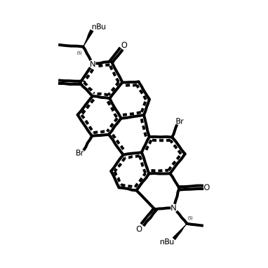 C=c1c2cc(Br)c3c4ccc5c6c(cc(Br)c(c7ccc(c(=O)n1[C@@H](C)CCCC)c2c73)c64)C(=O)N([C@@H](C)CCCC)C5=O